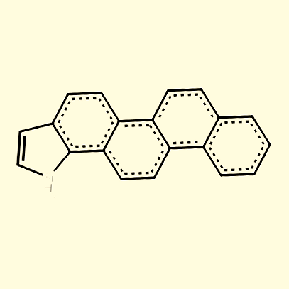 C1=Cc2ccc3c(ccc4c5ccccc5ccc34)c2[SiH2]1